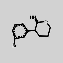 N=C1OCCCC1c1cccc(Br)c1